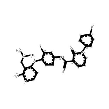 CN(C)Cc1c(Oc2ccc(NC(=O)c3cccn(-c4ccc(F)cc4)c3=O)cc2F)ccnc1N